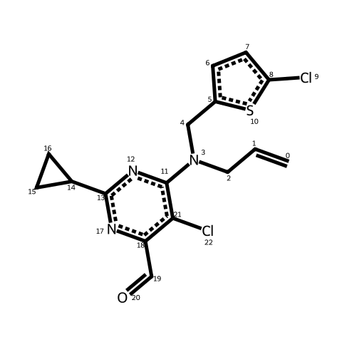 C=CCN(Cc1ccc(Cl)s1)c1nc(C2CC2)nc(C=O)c1Cl